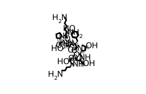 C[C@@H](O)[C@H](NC(=O)[C@@H]1C[C@@H](O)CN1C(=O)[C@H](Cc1ccc(O)cc1)NC(=O)[C@H](CO)NC(=O)[C@@H]1CCCN1C(=O)[C@@H](N)CCCCN)C(=O)N[C@@H](CCCCN)C(=O)O